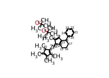 CC(C)(C)[O-].CC(C)(C)[O-].CC1=CC2=C(CCCC2c2ccccc2)[CH]1[Zr+2][C]1=C(C)C(C)=C(C)C1C